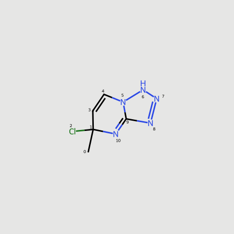 CC1(Cl)C=CN2NN=NC2=N1